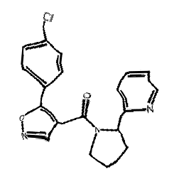 O=C(c1cnoc1-c1ccc(Cl)cc1)N1CCCC1c1ccccn1